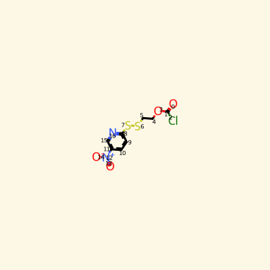 O=C(Cl)OCCSSc1ccc([N+](=O)[O-])cn1